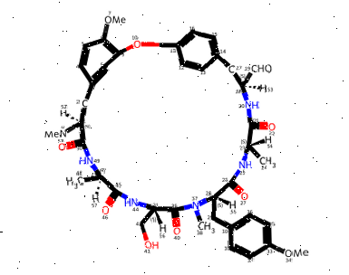 CN[C@H]1Cc2ccc(OC)c(c2)Oc2ccc(cc2)C[C@@H](C=O)NC(=O)[C@H](C)NC(=O)[C@H](Cc2ccc(OC)cc2)N(C)C(=O)[C@H](CO)NC(=O)[C@@H](C)NC1=O